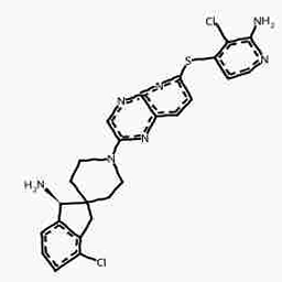 Nc1nccc(Sc2ccc3nc(N4CCC5(CC4)Cc4c(Cl)cccc4[C@H]5N)cnc3n2)c1Cl